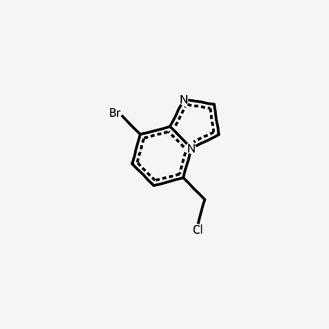 ClCc1ccc(Br)c2nccn12